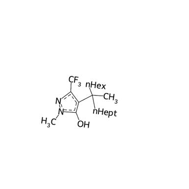 CCCCCCCC(C)(CCCCCC)c1c(C(F)(F)F)nn(C)c1O